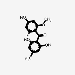 COc1cc(O)cc(F)c1C(=O)c1c(O)cc(C)cc1O